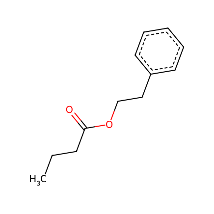 CCCC(=O)OCCc1ccccc1